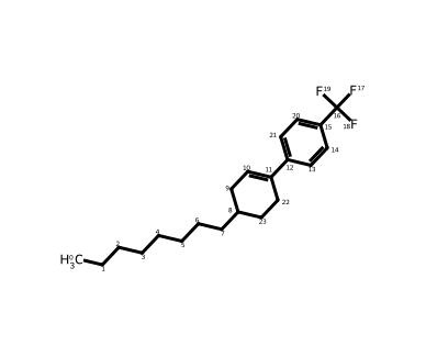 CCCCCCCCC1CC=C(c2ccc(C(F)(F)F)cc2)CC1